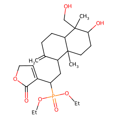 C=C1CCC2C(C)(CO)C(O)CCC2(C)C1CC(C1=CCOC1=O)P(=O)(OCC)OCC